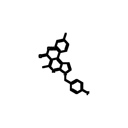 COC(=O)c1c(C)nc2c(ccn2Cc2ccc(F)cc2)c1-c1ccc(C)cc1